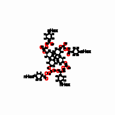 CCCCCCc1ccc(C(=O)OOC(=O)OC2CCC(C(C3CCC(OC(=O)OOC(=O)c4ccc(CCCCCC)cc4)CC3)(C3CCC(OC(=O)OOC(=O)c4ccc(CCCCCC)cc4)CC3)C3CCC(OC(=O)OOC(=O)c4ccc(CCCCCC)cc4)CC3)CC2)cc1